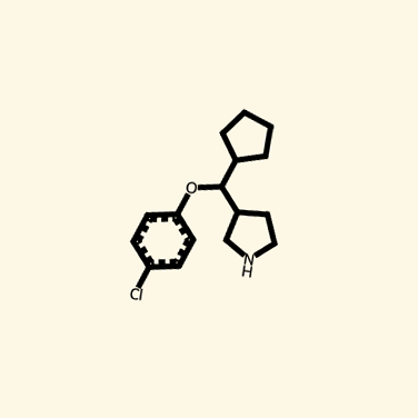 Clc1ccc(OC(C2CCCC2)C2CCNC2)cc1